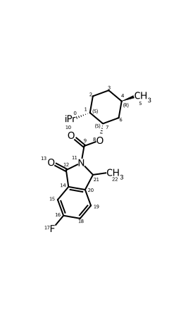 CC(C)[C@@H]1CC[C@@H](C)C[C@@H]1OC(=O)N1C(=O)c2cc(F)ccc2C1C